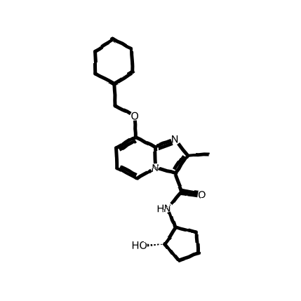 Cc1nc2c(OCC3CCCCC3)cccn2c1C(=O)NC1CCC[C@@H]1O